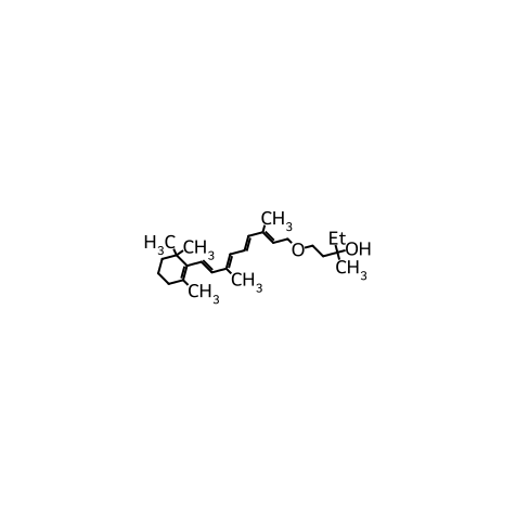 CCC(C)(O)CCOCC=C(C)C=CC=C(C)C=CC1=C(C)CCCC1(C)C